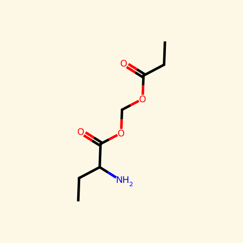 CCC(=O)OCOC(=O)C(N)CC